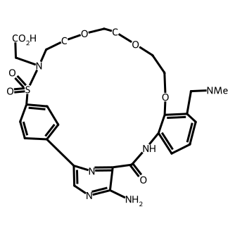 CNCc1cccc2c1OCCOCCOCCN(CC(=O)O)S(=O)(=O)c1ccc(cc1)-c1cnc(N)c(n1)C(=O)N2